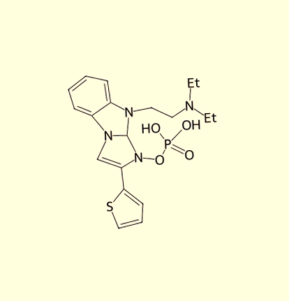 CCN(CC)CCN1c2ccccc2N2C=C(c3cccs3)N(OP(=O)(O)O)C21